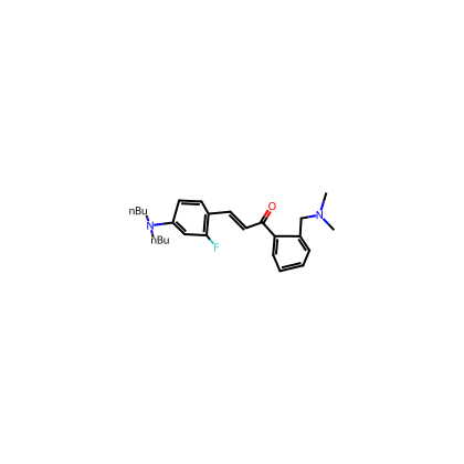 CCCCN(CCCC)c1ccc(C=CC(=O)c2ccccc2CN(C)C)c(F)c1